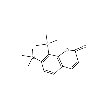 C[Si](C)(C)c1ccc2ccc(=O)oc2c1[Si](C)(C)C